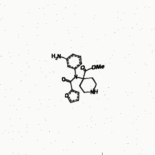 COC(=O)C1(N(C(=O)c2ccco2)c2cccc(N)c2)CCNCC1